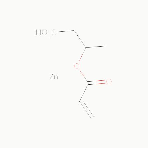 C=CC(=O)OC(C)CC(=O)O.[Zn]